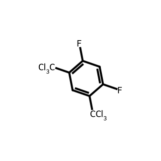 Fc1cc(F)c(C(Cl)(Cl)Cl)cc1C(Cl)(Cl)Cl